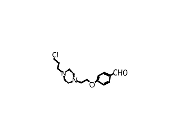 O=Cc1ccc(OCCN2CCN(CCCCl)CC2)cc1